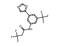 O=C(CC(F)(F)F)Nc1cc(-c2cnco2)cc(C(F)(F)F)c1